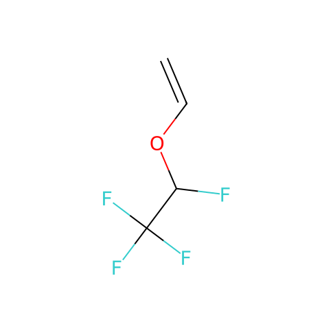 C=COC(F)C(F)(F)F